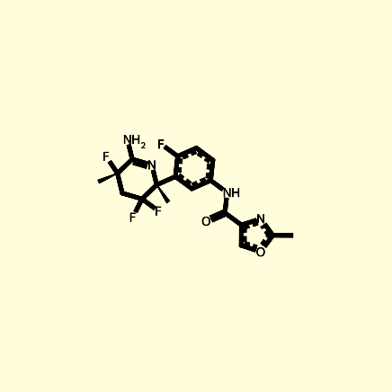 Cc1nc(C(=O)Nc2ccc(F)c([C@@]3(C)N=C(N)[C@@](C)(F)CC3(F)F)c2)co1